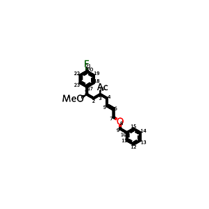 CO[C@H](C[C@H](CC=CCOCc1ccccc1)C(C)=O)c1ccc(F)cc1